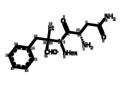 CCCCCCN(C(=O)[C@@H](N)CC(N)=O)[C@@]([C]=O)(CC)Cc1ccccc1